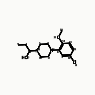 CCC(O)N1CCN(c2cc(Cl)ccc2OC)CC1